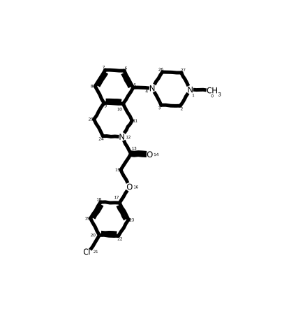 CN1CCN(c2cccc3c2CN(C(=O)COc2ccc(Cl)cc2)CC3)CC1